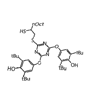 CCCCCCCCC(S)CSc1nc(Oc2cc(C(C)(C)C)c(O)c(C(C)(C)C)c2)nc(Oc2cc(C(C)(C)C)c(O)c(C(C)(C)C)c2)n1